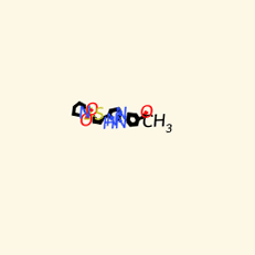 CC(=O)c1ccc(Nc2nccc(-c3ccc(S(=O)(=O)N4CCCCC4)s3)n2)cc1